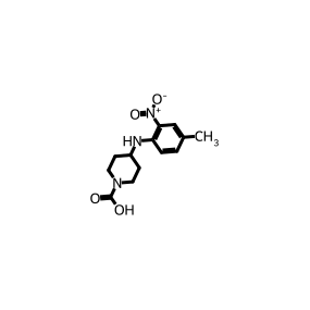 Cc1ccc(NC2CCN(C(=O)O)CC2)c([N+](=O)[O-])c1